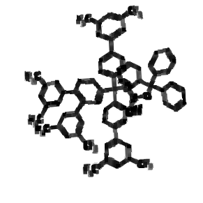 OB(OC(c1ccccc1)(c1ccccc1)c1ccccc1)OC(c1ccc(-c2cc(C(F)(F)F)cc(C(F)(F)F)c2)cc1)(c1ccc(-c2cc(C(F)(F)F)cc(C(F)(F)F)c2)cc1)c1ccc(-c2cc(C(F)(F)F)cc(C(F)(F)F)c2)c(-c2cc(C(F)(F)F)cc(C(F)(F)F)c2)c1